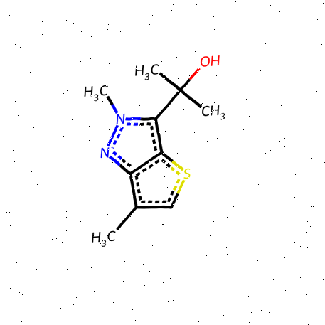 Cc1csc2c(C(C)(C)O)n(C)nc12